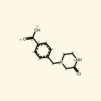 O=C1CN(Cc2ccc(C(=O)O)cc2)CCN1